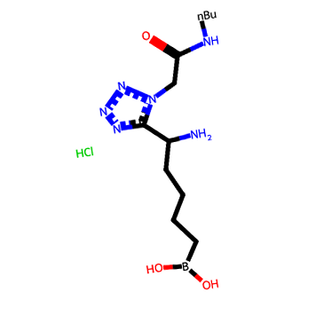 CCCCNC(=O)Cn1nnnc1C(N)CCCCB(O)O.Cl